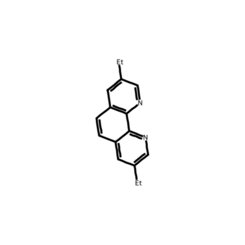 CCc1cnc2c(ccc3cc(CC)cnc32)c1